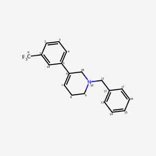 FC(F)(F)c1cccc(C2=CCCN(Cc3ccccc3)C2)c1